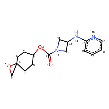 O=C(OC1CCC2(CC1)CO2)N1CC(Nc2ccccn2)C1